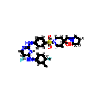 Cc1cc(Nc2nc(Nc3ccc(S(=O)(=O)N4CCC(O)(CN5CCCC5)CC4)cc3)ncc2F)ccc1F